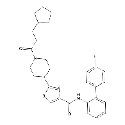 O=C(Nc1ccccc1-c1ccc(F)cc1)c1csc(C2CCN(C(=O)CCC3CCCC3)CC2)n1